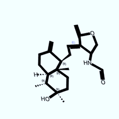 C=C1OCC(NC=O)/C1=C\C[C@@H]1C(=C)CC[C@@H]2[C@@H](C)[C@](C)(O)CC[C@@]12C